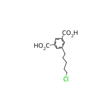 O=C(O)c1cc(CCCCCCl)cc(C(=O)O)c1